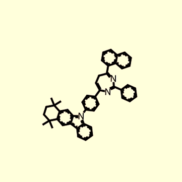 CC1(C)CCC(C)(C)c2cc3c(cc21)c1ccccc1n3-c1ccc(C2=CCC(c3cccc4ccccc34)=NC(c3ccccc3)=N2)cc1